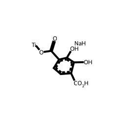 O=C(O)c1ccc(C(=O)[O][Ti])c(O)c1O.[NaH]